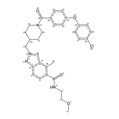 COCCNC(=O)c1ccc2nn(CC3CCN(C(=O)c4ccc(Oc5ccc(Cl)cc5)cc4)CC3)cc2c1C